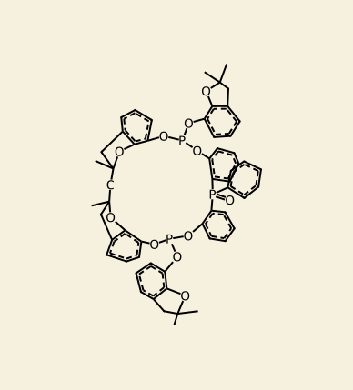 CC1(C)Cc2cccc(OP3Oc4ccccc4P(=O)(c4ccccc4)c4ccccc4OP(Oc4cccc5c4OC(C)(C)C5)Oc4cccc5c4OC(C)(C5)CC4(C)Cc5cccc(c5O4)O3)c2O1